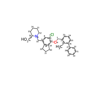 Cc1c(COc2c(Cl)cc(CN3CCCCC3C(=O)O)c3c2CCC3)cccc1-c1ccccc1